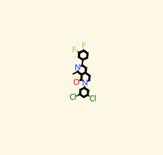 Cc1nc(-c2ccc(F)c(F)c2)cc2ccn(-c3cc(Cl)cc(Cl)c3)c(=O)c12